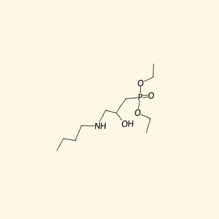 CCCCNCC(O)CP(=O)(OCC)OCC